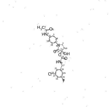 CC(=O)Nc1ccc(N2CC[C@](O)(OC(=O)NCc3cc(F)cc(Cl)c3)C2=O)cc1